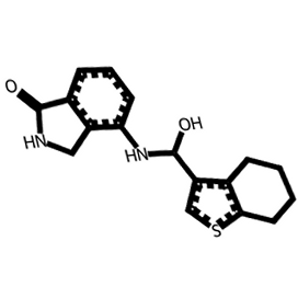 O=C1NCc2c(NC(O)c3csc4c3CCCC4)cccc21